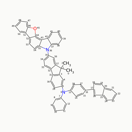 CC1(C)c2cc(N(c3ccccc3)c3ccc(-c4ccc5ccccc5c4)cc3)ccc2-c2ccc(-n3c4ccccc4c4c5oc6ccccc6c5ccc43)cc21